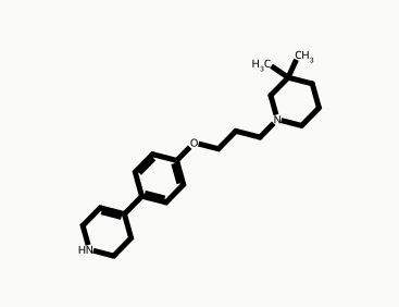 CC1(C)CCCN(CCCOc2ccc(C3=CCNCC3)cc2)C1